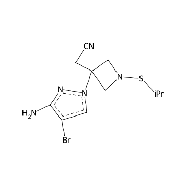 CC(C)SN1CC(CC#N)(n2cc(Br)c(N)n2)C1